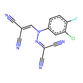 N#CC(C#N)=CN(N=C(C#N)C#N)c1ccc(F)c(Cl)c1